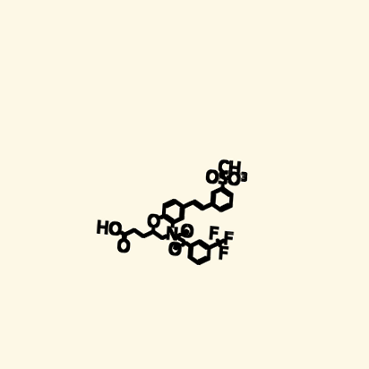 CS(=O)(=O)c1cccc(C=Cc2ccc3c(c2)N(S(=O)(=O)c2cccc(C(F)(F)F)c2)CC(CCC(=O)O)O3)c1